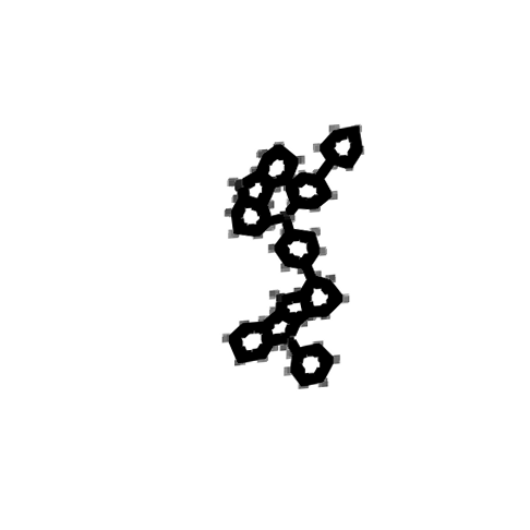 c1ccc(-c2ccc(N(c3ccc(-c4cccc5c4sc4c6ccccc6n(-c6ccccc6)c54)cc3)c3cccc4oc5ccccc5c34)cc2)cc1